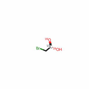 [18O]=[13C]([18OH])CBr